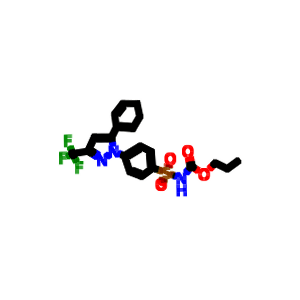 CCCOC(=O)NS(=O)(=O)c1ccc(-n2nc(C(F)(F)F)cc2C2=CCCC=C2)cc1